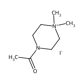 CC(=O)N1CC[N+](C)(C)CC1.[I-]